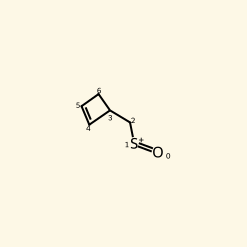 O=[S+]CC1C=CC1